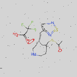 CC(=O)SC1CCNCC1=Cc1cnsn1.O=C(O)C(F)(F)F